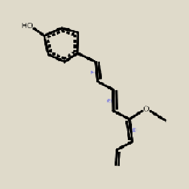 C=C\C=C(/C=C/C=C/c1ccc(O)cc1)OC